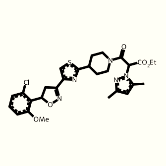 CCOC(=O)C(C(=O)N1CCC(c2nc(C3=NOC(c4c(Cl)cccc4OC)C3)cs2)CC1)n1nc(C)cc1C